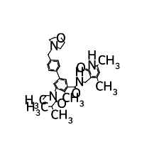 CCN(C(=O)C(C)C)c1cc(-c2ccc(CN3CCOCC3)cc2)cc(C(=O)NCc2c(C)cc(C)[nH]c2=O)c1C